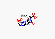 O=C([O-])C1=CS[C@@H]2/C(=C\c3cn4c(n3)S(=O)(=O)CC4)C(=O)N12.[Na+]